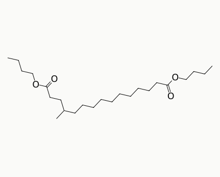 CCCCOC(=O)CCCCCCCCCCC(C)CCC(=O)OCCCC